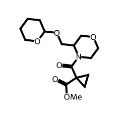 COC(=O)C1(C(=O)N2CCOCC2COC2CCCCO2)CC1